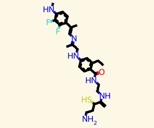 C=C(NCCNC(=O)c1ccc(NC/C(C)=N/C=C(\C)c2ccc(NC)c(F)c2F)cc1CC)C(S)CCN